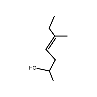 CC/C(C)=C/CC(C)O